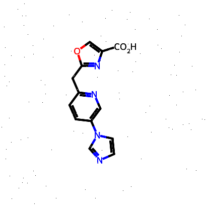 O=C(O)c1coc(Cc2ccc(-n3ccnc3)cn2)n1